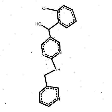 OC(c1cnc(NCc2cccnc2)nc1)c1ccccc1Cl